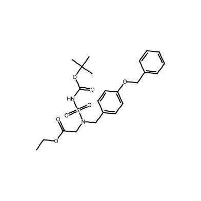 CCOC(=O)CN(Cc1ccc(OCc2ccccc2)cc1)S(=O)(=O)NC(=O)OC(C)(C)C